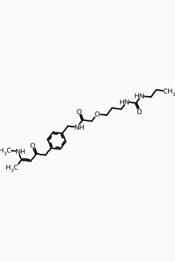 CCCNC(=O)NCCCOCC(=O)NCc1ccc(CC(=O)/C=C(/C)NC)cc1